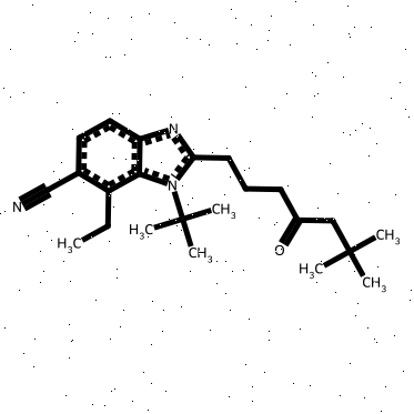 CCc1c(C#N)ccc2nc(CCCC(=O)CC(C)(C)C)n(C(C)(C)C)c12